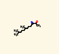 CC(=O)C1N=C1CC/C=C(\C)CCC=C(C)C